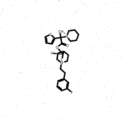 CC(C(=O)O[C@H]1C[N+]2(CCc3cccc(F)c3)CCC1CC2)(c1cccs1)N1CCCCC1